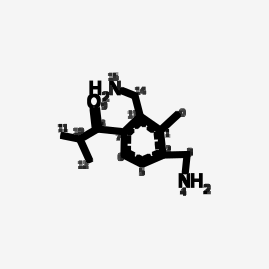 Cc1c(CN)ccc(C(=O)C(C)C)c1CN